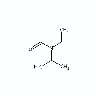 CCN([C]=O)C(C)C